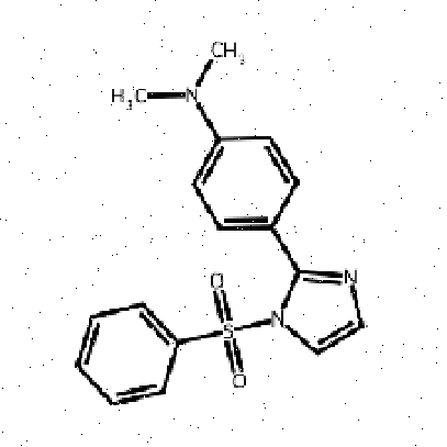 CN(C)c1ccc(-c2n[c]cn2S(=O)(=O)c2ccccc2)cc1